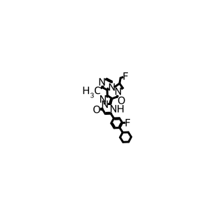 Cc1nccnc1-c1nn2c(=O)cc(-c3ccc(C4CCCCC4)c(F)c3)[nH]c2c1C(=O)N1CC(CF)C1